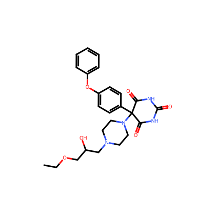 CCOCC(O)CN1CCN(C2(c3ccc(Oc4ccccc4)cc3)C(=O)NC(=O)NC2=O)CC1